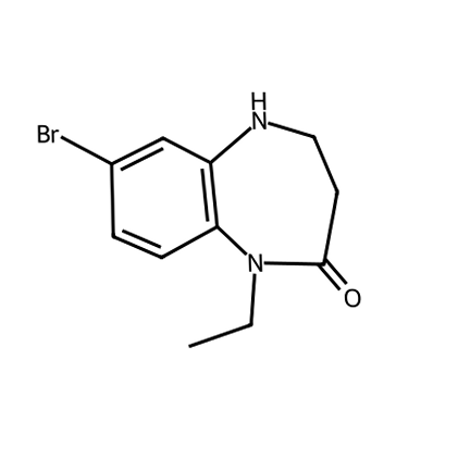 CCN1C(=O)CCNc2cc(Br)ccc21